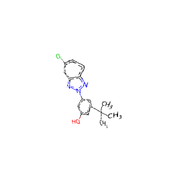 CC(C)(C)c1cc(O)cc(-n2nc3ccc(Cl)cc3n2)c1